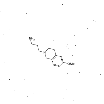 COc1ccc2c(c1)CCN(CCCN)C2